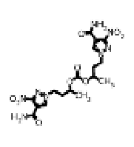 CC(CCn1cc(C(N)=O)c([N+](=O)[O-])n1)OC(=O)OC(C)CCn1cc(C(N)=O)c([N+](=O)[O-])n1